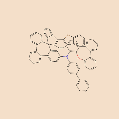 c1ccc(-c2ccc(N(c3ccc4c(c3)C3(c5ccccc5-c5ccccc5-4)c4ccccc4-c4c3ccc3c4sc4ccccc43)c3cccc4c3Oc3ccccc3-c3ccccc3-4)cc2)cc1